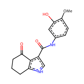 COc1ccc(NC(=O)c2c[nH]c3c2C(=O)CCC3)cc1O